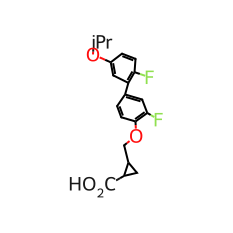 CC(C)Oc1ccc(F)c(-c2ccc(OCC3CC3C(=O)O)c(F)c2)c1